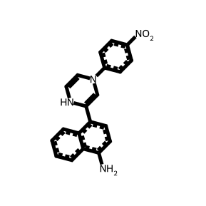 Nc1ccc(C2=CN(c3ccc([N+](=O)[O-])cc3)C=CN2)c2ccccc12